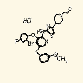 COc1cccc(Sc2cnc(Nc3nc(C4CCN(CC=O)CC4)cs3)c(Oc3ccc(F)cc3Br)c2)c1.Cl